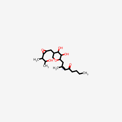 CCCCC(=O)/C=C(/C)CC1OCC(CC2OC2C(C)C(C)O)C(O)C1O